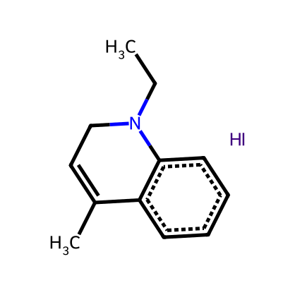 CCN1CC=C(C)c2ccccc21.I